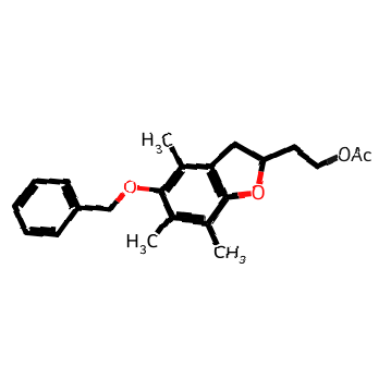 CC(=O)OCCC1Cc2c(C)c(OCc3ccccc3)c(C)c(C)c2O1